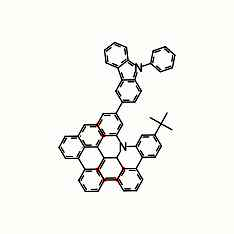 CC(C)(C)c1ccc(-c2ccccc2)c(N(c2cccc(-c3ccc4c(c3)c3ccccc3n4-c3ccccc3)c2)C2CC=CC=C2c2cccc3cccc(-c4ccccc4)c23)c1